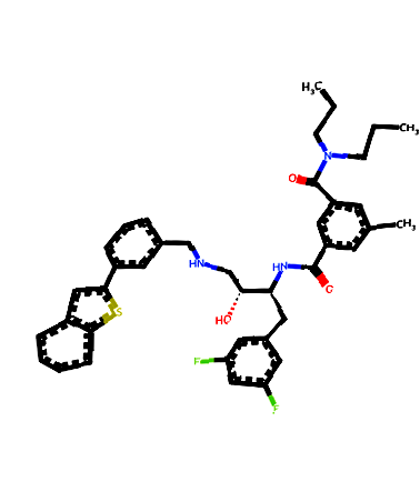 CCCN(CCC)C(=O)c1cc(C)cc(C(=O)N[C@@H](Cc2cc(F)cc(F)c2)[C@H](O)CNCc2cccc(-c3cc4ccccc4s3)c2)c1